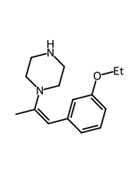 CCOc1cccc(C=C(C)N2CCNCC2)c1